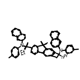 CCCC1(N(c2ccc(C)cc2)c2ccc3ccccc3c2)Cc2cc3c(cc21)C(C)(C)c1cc(C(C)(CC)N(c2ccc(C)cc2)c2ccc4ccccc4c2)ccc1-3